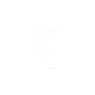 CCCC.CNC1CCN(CCP(=O)(O)O)CC1